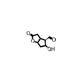 O=C[C@H]1C(O)CC2OC(=O)CC21